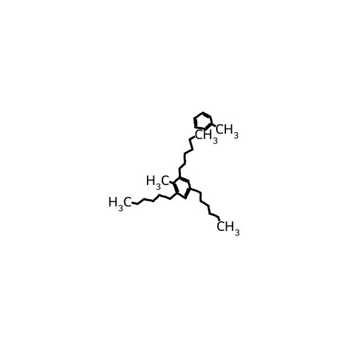 CCCCCCc1cc(CCCCCC)c(C)c(CCCCCC)c1.Cc1ccccc1